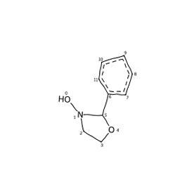 ON1CCOC1c1ccccc1